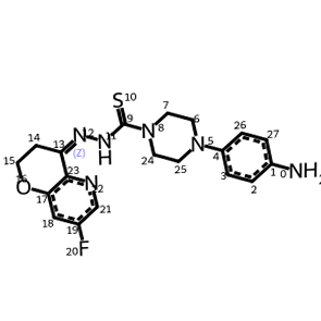 Nc1ccc(N2CCN(C(=S)N/N=C3/CCOc4cc(F)cnc43)CC2)cc1